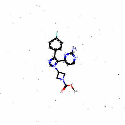 CC(C)(C)OC(=O)N1CC(n2cnc(-c3ccc(F)cc3)c2-c2ccnc(N)n2)C1